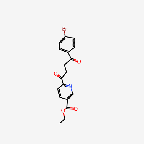 CCOC(=O)c1ccc(C(=O)CCC(=O)c2ccc(Br)cc2)nc1